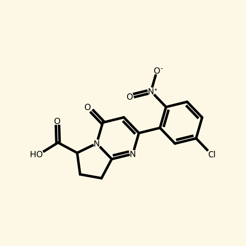 O=C(O)C1CCc2nc(-c3cc(Cl)ccc3[N+](=O)[O-])cc(=O)n21